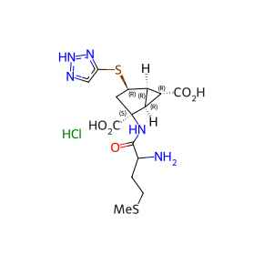 CSCCC(N)C(=O)N[C@@]1(C(=O)O)C[C@@H](Sc2cn[nH]n2)[C@H]2[C@H](C(=O)O)[C@H]21.Cl